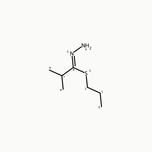 CCCS/C(=N\N)C(C)C